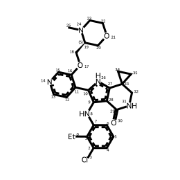 CCc1c(Cl)cccc1Nc1c(-c2ccncc2OC[C@@H]2COCCN2C)[nH]c2c1C(=O)NCC21CC1